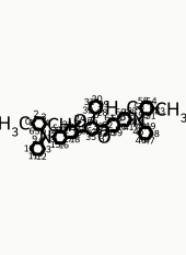 Cc1ccc(C)c(N(c2ccccc2)c2ccc3cc4c(cc3c2)oc2c(-c3ccccc3)c3c(cc24)oc2cc4cc(N(c5ccccc5)c5cc(C)ccc5C)ccc4cc23)c1